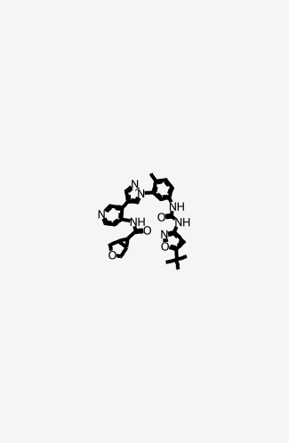 Cc1ccc(NC(=O)Nc2cc(C(C)(C)C)on2)cc1-n1cc(-c2cnccc2NC(=O)C2C3COCC32)cn1